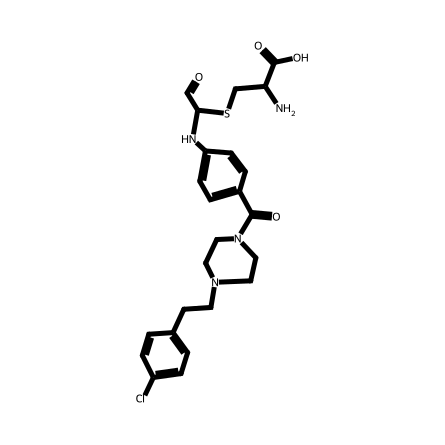 NC(CSC(C=O)Nc1ccc(C(=O)N2CCN(CCc3ccc(Cl)cc3)CC2)cc1)C(=O)O